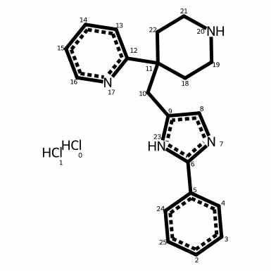 Cl.Cl.c1ccc(-c2ncc(CC3(c4ccccn4)CCNCC3)[nH]2)cc1